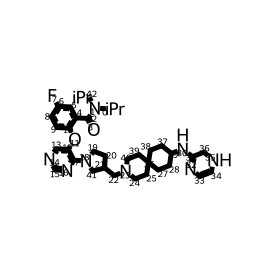 CC(C)N(C(=O)c1cc(F)ccc1Oc1cncnc1N1CCC(CN2CCC3(CCC(NC4=NC=CNC4)CC3)CC2)C1)C(C)C